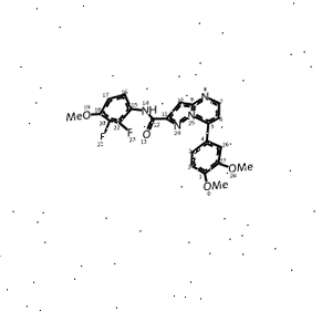 COc1ccc(-c2ccnc3cc(C(=O)Nc4ccc(OC)c(F)c4F)nn23)cc1OC